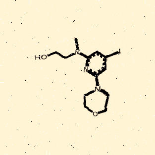 CN(CCO)c1cc(I)cc(N2CCOCC2)n1